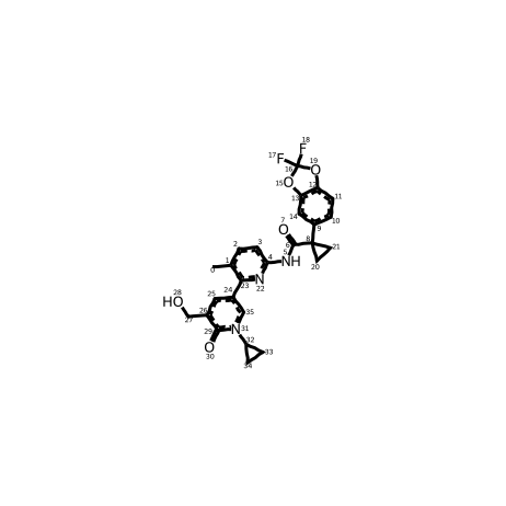 Cc1ccc(NC(=O)C2(c3ccc4c(c3)OC(F)(F)O4)CC2)nc1-c1cc(CO)c(=O)n(C2CC2)c1